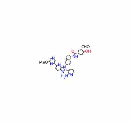 COc1cncc(-c2ccc3nc(-c4cccnc4N)n(-c4ccc5c(c4)CC[C@@H]5NC(=O)c4ccc(O)c(C=O)c4)c3n2)n1